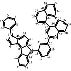 c1ccc(-n2ccc3c4c5ccccc5n(-c5cccc(-c6nc(-c7cccc8ccccc78)c7ccccc7n6)c5)c4ccc32)cc1